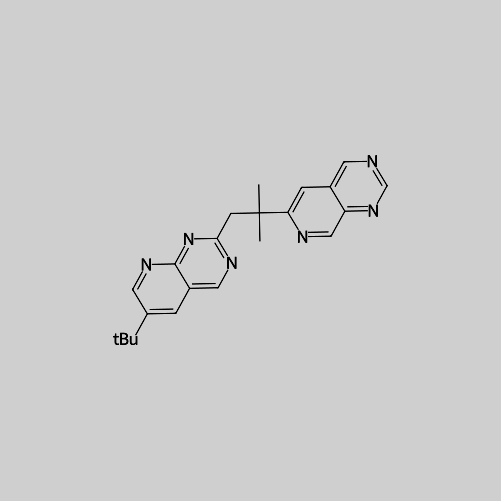 CC(C)(C)c1cnc2nc(CC(C)(C)c3cc4cncnc4cn3)ncc2c1